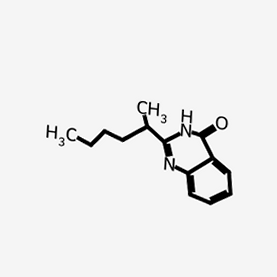 CCCCC(C)c1nc2ccccc2c(=O)[nH]1